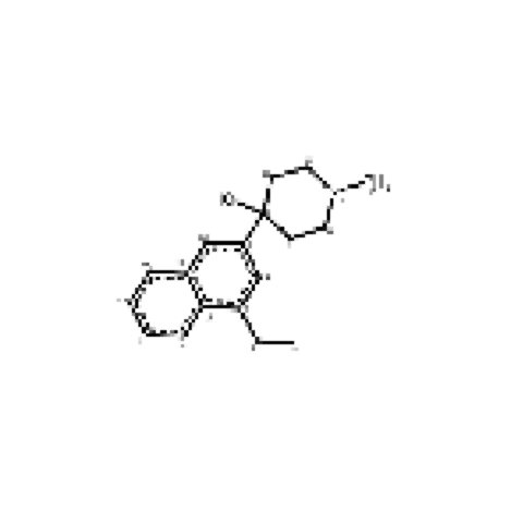 CCc1cc(C2(O)CCN(P)CC2)cc2ccccc12